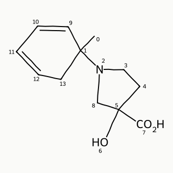 CC1(N2CCC(O)(C(=O)O)C2)C=CC=CC1